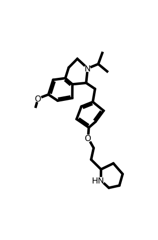 COc1ccc2c(c1)CCN(C(C)C)C2Cc1ccc(OCCC2CCCCN2)cc1